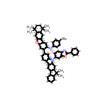 CC(C)(C)c1ccc(N2B3c4cc5nc(-c6ccccc6)oc5cc4-n4c5cc6c(cc5c5ccc(c3c54)-c3cc4oc5cc7c(cc5c4cc32)C(C)(C)CCC7(C)C)-c2ccccc2C6(C)C)cc1